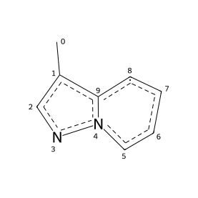 Cc1cnn2ccc[c]c12